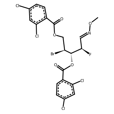 CON=C[C@@H](F)[C@H](OC(=O)c1ccc(Cl)cc1Cl)[C@@H](Br)COC(=O)c1ccc(Cl)cc1Cl